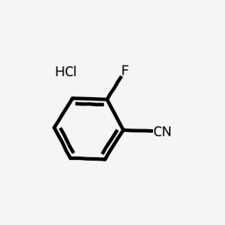 Cl.N#Cc1ccccc1F